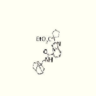 CCOC(=O)C1(c2cn3c(C(=O)NCC45CC6CC(CC(C6)C4)C5)cccc3n2)CCCC1